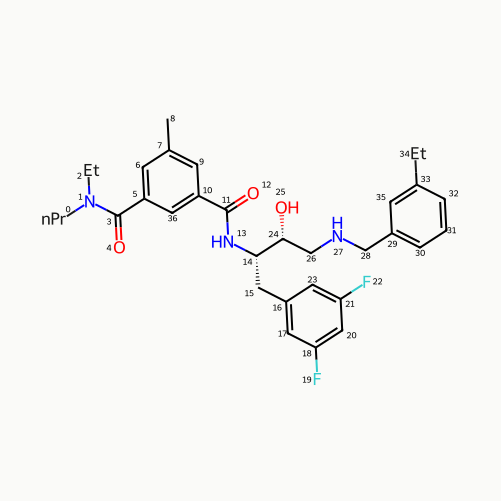 CCCN(CC)C(=O)c1cc(C)cc(C(=O)N[C@@H](Cc2cc(F)cc(F)c2)[C@H](O)CNCc2cccc(CC)c2)c1